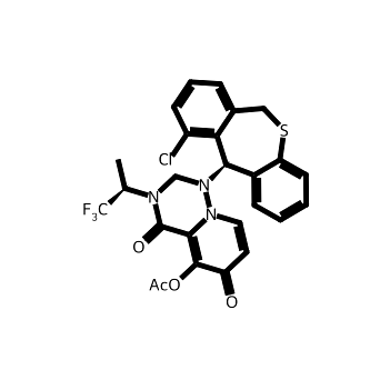 CC(=O)Oc1c2n(ccc1=O)N([C@@H]1c3ccccc3SCc3cccc(Cl)c31)CN([C@H](C)C(F)(F)F)C2=O